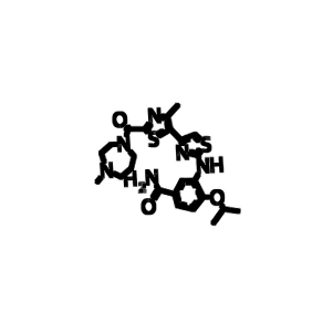 Cc1nc(C(=O)N2CCCN(C)CC2)sc1-c1csc(Nc2cc(C(N)=O)ccc2OC(C)C)n1